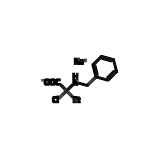 CCC(Cl)(NCc1ccccc1)C(=O)[O-].[Na+]